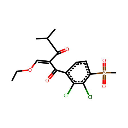 CCO/C=C(\C(=O)c1ccc(S(C)(=O)=O)c(Cl)c1Cl)C(=O)C(C)C